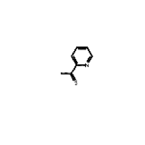 CC(=S)c1ccccn1